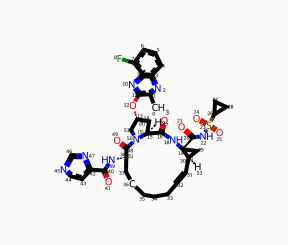 Cc1nc2cccc(F)c2nc1O[C@@H]1C[C@H]2C(=O)N[C@]3(C(=O)NS(=O)(=O)C4CC4)C[C@H]3C=CCCCCC[C@H](NC(=O)c3ccncn3)C(=O)N2C1